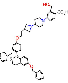 CC1([C@H]2CCc3cc(OCc4ccccc4)ccc3[C@H]2c2ccc(OCCC3CN(C4CCN(c5ccc(C(=O)O)c(CO)c5)CC4)C3)cc2)C=CC=CC1